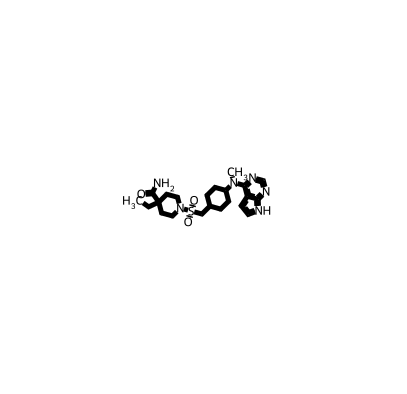 CCC1(C(N)=O)CCN(S(=O)(=O)CC2CCC(N(C)c3ncnc4[nH]ccc34)CC2)CC1